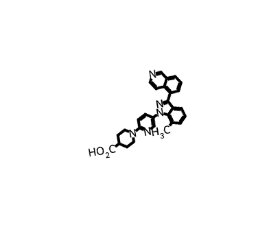 Cc1cccc2c(-c3cccc4cnccc34)nn(-c3ccc(N4CCC(C(=O)O)CC4)nc3)c12